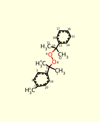 Cc1ccc(C(C)(C)OOC(C)(C)c2ccccc2)cc1